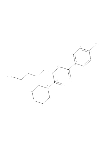 NCCOC[C@H](NC(=O)c1ccc(F)cc1)C(=O)N1CCOCC1